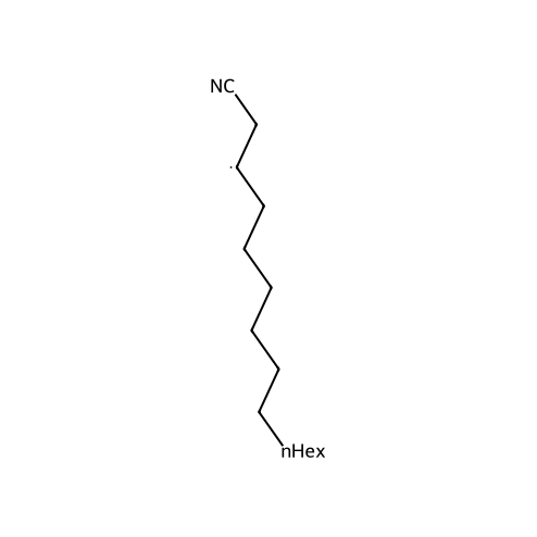 CCCCCCCCCCCC[CH]CC#N